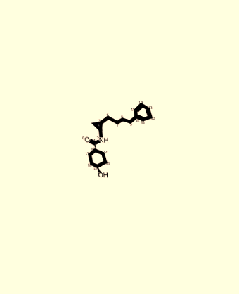 O=C(NC1CC1CCCCc1ccccc1)[C@H]1CC[C@H](O)CC1